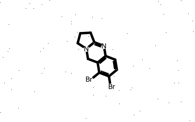 Brc1ccc2c(c1Br)CN1CCCC1=N2